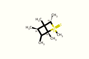 CC1[C@@H](C)C2(C)[C@H](C)[SH](C)(=S)[C@]12C